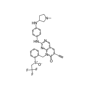 C#Cc1cc2cnc(Nc3ccc(NC4CCN(C)C4)cc3)nc2n(Cc2ccccc2[S+]([O-])CC(F)(F)F)c1=O